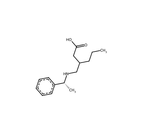 CCCC(CN[C@H](C)c1ccccc1)CC(=O)O